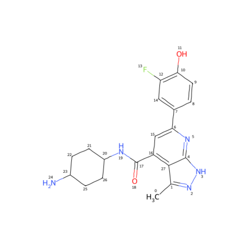 Cc1n[nH]c2nc(-c3ccc(O)c(F)c3)cc(C(=O)NC3CCC(N)CC3)c12